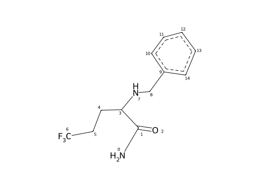 NC(=O)C(CCC(F)(F)F)NCc1ccccc1